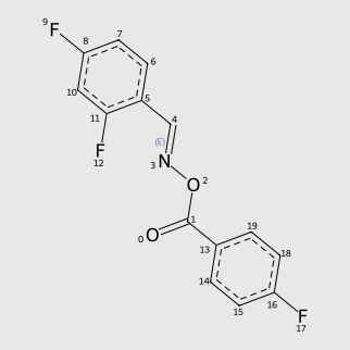 O=C(O/N=C/c1ccc(F)cc1F)c1ccc(F)cc1